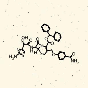 NC(=O)c1ccc(OCC2=C(C(=O)OC(c3ccccc3)c3ccccc3)N3C(=O)C(NC(=O)/C(=N\O)c4csc(N)n4)[C@H]3SC2)cc1